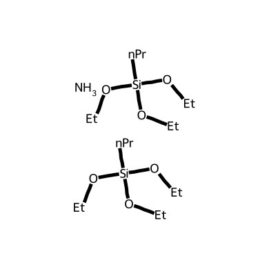 CCC[Si](OCC)(OCC)OCC.CCC[Si](OCC)(OCC)OCC.N